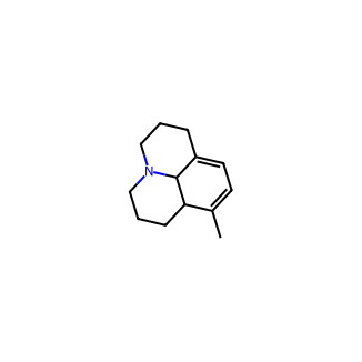 CC1=CC=C2CCCN3CCCC1C23